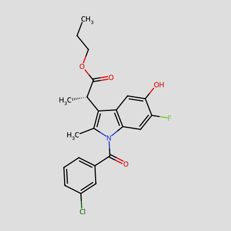 CCCOC(=O)[C@@H](C)c1c(C)n(C(=O)c2cccc(Cl)c2)c2cc(F)c(O)cc12